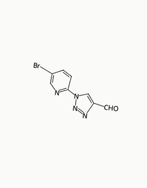 O=Cc1cn(-c2ccc(Br)cn2)nn1